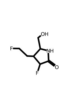 O=C1NC(CO)C(CCF)C1F